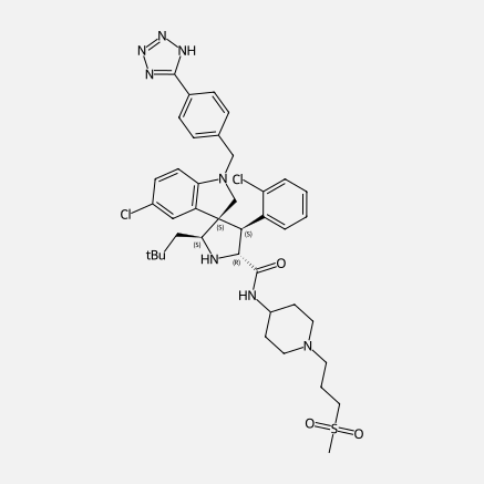 CC(C)(C)C[C@@H]1N[C@@H](C(=O)NC2CCN(CCCS(C)(=O)=O)CC2)[C@H](c2ccccc2Cl)[C@]12CN(Cc1ccc(-c3nnn[nH]3)cc1)c1ccc(Cl)cc12